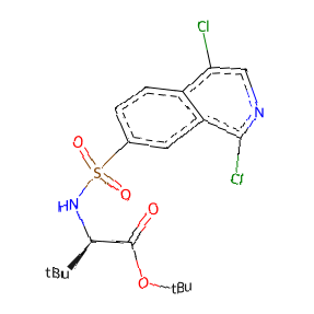 CC(C)(C)OC(=O)[C@H](NS(=O)(=O)c1ccc2c(Cl)cnc(Cl)c2c1)C(C)(C)C